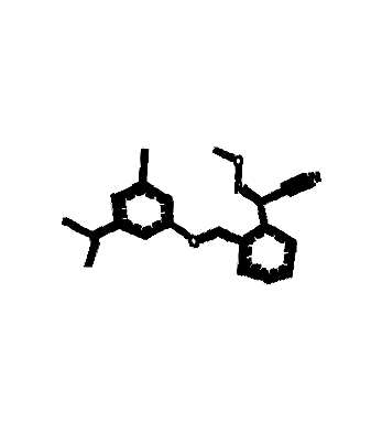 CON=C(C#N)c1ccccc1COc1cc(C)cc(C(C)C)c1